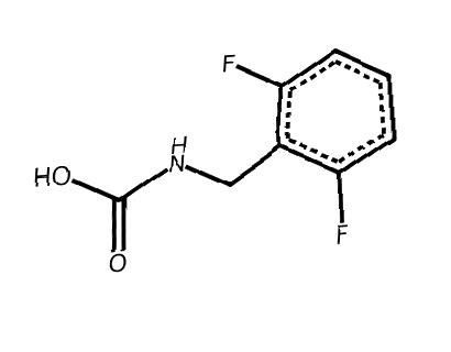 O=C(O)NCc1c(F)cccc1F